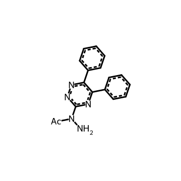 CC(=O)N(N)c1nnc(-c2ccccc2)c(-c2ccccc2)n1